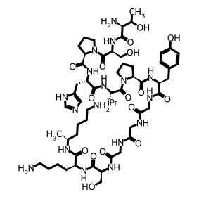 CC(O)[C@H](N)C(=O)N[C@@H](CO)C(=O)N1CCC[C@@H]1C(=O)N[C@@H](Cc1cnc[nH]1)C(=O)N[C@H](C(=O)N1CCC[C@H]1C(=O)N[C@@H](Cc1ccc(O)cc1)C(=O)NCC(=O)NCC(=O)NCC(=O)N[C@@H](CO)C(=O)N[C@@H](CCCCN)C(=O)N[C@H](C)CCCCN)C(C)C